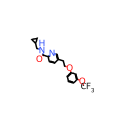 O=C(NCC1CC1)c1ccc(CCOc2cccc(OC(F)(F)F)c2)cn1